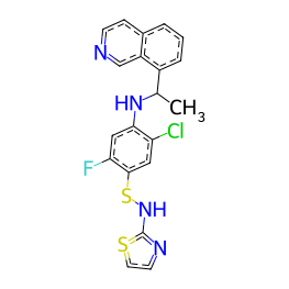 CC(Nc1cc(F)c(SNc2nccs2)cc1Cl)c1cccc2ccncc12